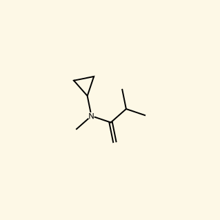 C=C(C(C)C)N(C)C1CC1